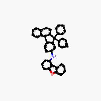 c1ccc(C2(c3ccccc3)c3cc(Nc4cccc5oc6ccccc6c45)ccc3-c3c2ccc2ccccc32)cc1